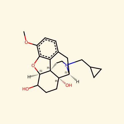 COc1ccc2c3c1O[C@@H]1C(O)CC[C@]4(O)[C@H](C2)N(CC2CC2)CC[C@@]314